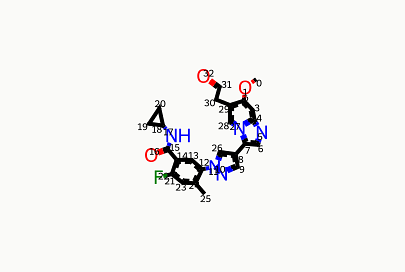 COc1cc2ncc(-c3cnn(-c4cc(C(=O)NC5CC5)c(F)cc4C)c3)n2cc1CC=O